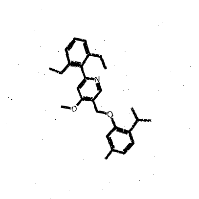 CCc1cccc(CC)c1-c1cc(OC)c(COc2cc(C)ccc2C(C)C)cn1